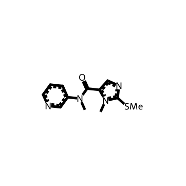 CSc1ncc(C(=O)N(C)c2cccnc2)n1C